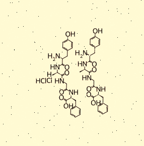 C[C@@H](NC(=O)[C@@H](N)Cc1ccc(O)cc1)C(=O)NCC(=O)N[C@@H](Cc1ccccc1)C(=O)O.C[C@@H](NC(=O)[C@@H](N)Cc1ccc(O)cc1)C(=O)NCC(=O)N[C@@H](Cc1ccccc1)C(=O)O.Cl.Cl